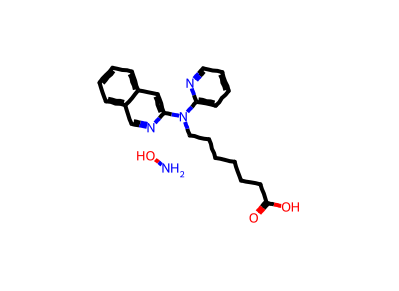 NO.O=C(O)CCCCCCN(c1ccccn1)c1cc2ccccc2cn1